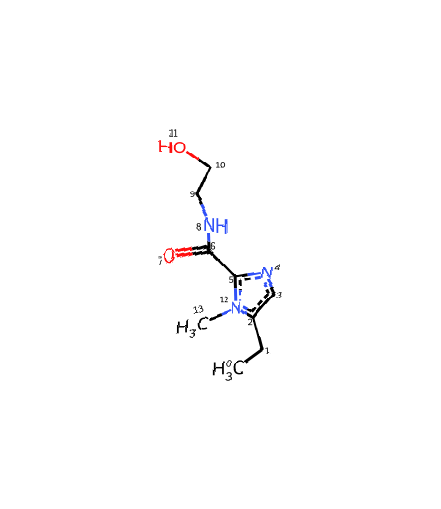 CCc1cnc(C(=O)NCCO)n1C